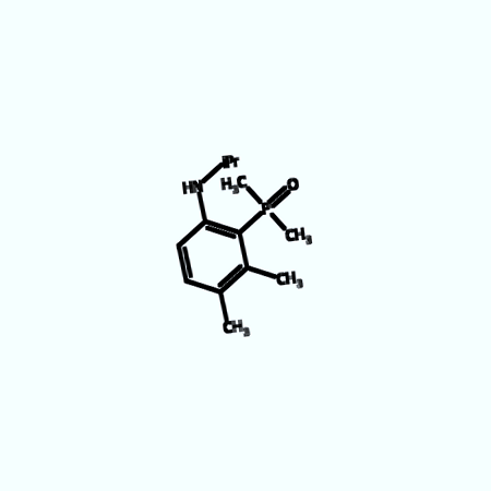 Cc1ccc(NC(C)C)c(P(C)(C)=O)c1C